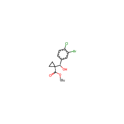 CC(C)(C)OC(=O)C1(C(O)c2ccc(Cl)c(Br)c2)CC1